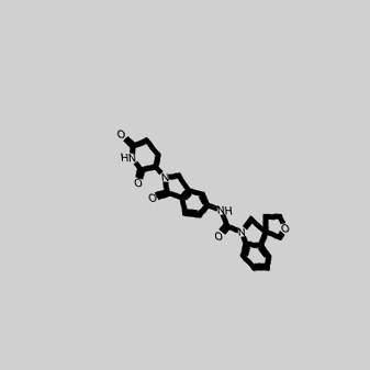 O=C1CCC(N2Cc3cc(NC(=O)N4CC5(CCOC5)c5ccccc54)ccc3C2=O)C(=O)N1